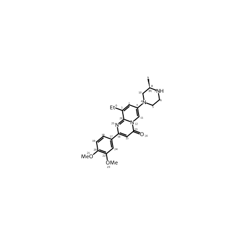 CCc1cc(N2CCN[C@H](C)C2)cn2c(=O)cc(-c3ccc(OC)c(OC)c3)nc12